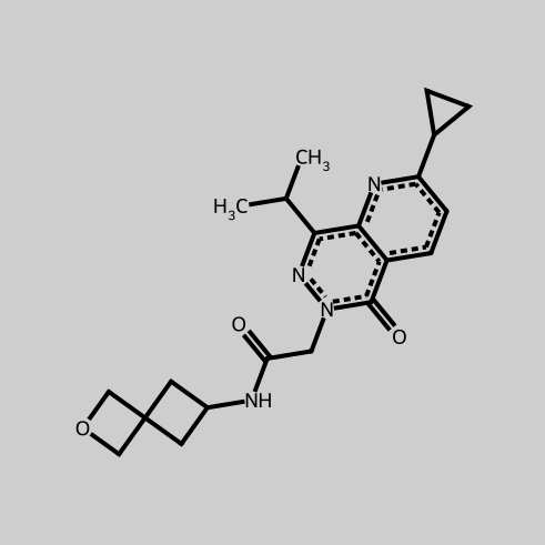 CC(C)c1nn(CC(=O)NC2CC3(COC3)C2)c(=O)c2ccc(C3CC3)nc12